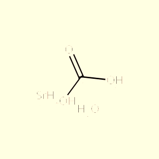 O.O=C(O)O.[SrH2]